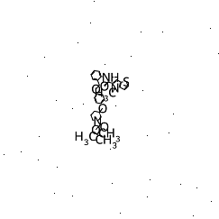 Cn1c(C(=O)Nc2ccccc2COc2ccc(OC3CCCN(C(=O)OC(C)(C)C)C3)cc2)cc2sccc21